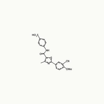 COc1ccc(-c2nc(C)c(C(=O)Nc3ccc(S(=O)(=O)O)cc3)s2)cc1C#N